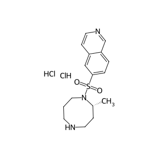 C[C@@H]1CCNCCCN1S(=O)(=O)c1ccc2cnccc2c1.Cl.Cl